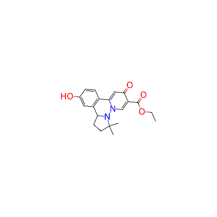 CCOC(=O)c1cn2c(cc1=O)-c1ccc(O)cc1C1CCC(C)(C)N12